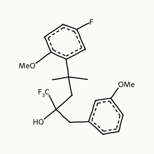 COc1cccc(CC(O)(CC(C)(C)c2cc(F)ccc2OC)C(F)(F)F)c1